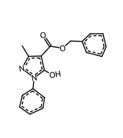 Cc1nn(-c2ccccc2)c(O)c1C(=O)OCc1ccccc1